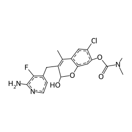 CC1=C(Cc2ccnc(N)c2F)C(O)Oc2cc(OC(=O)N(C)C)c(Cl)cc21